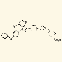 Nc1ncnc2c1c(-c1ccc(Oc3ccccc3)cc1)nn2C1CCN(C2CN(CC3CCN(C(=O)O)CC3)C2)CC1